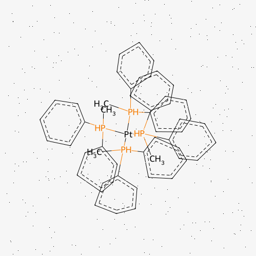 C[PH](c1ccccc1)(c1ccccc1)[Pt]([PH](C)(c1ccccc1)c1ccccc1)([PH](C)(c1ccccc1)c1ccccc1)[PH](C)(c1ccccc1)c1ccccc1